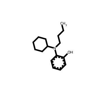 CCCCN(c1ccccc1O)C1CCCCC1